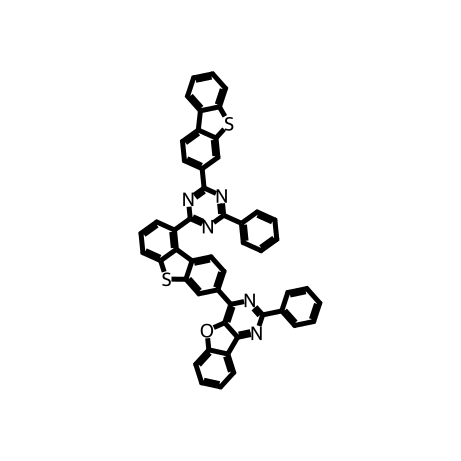 c1ccc(-c2nc(-c3ccc4c(c3)sc3ccccc34)nc(-c3cccc4sc5cc(-c6nc(-c7ccccc7)nc7c6oc6ccccc67)ccc5c34)n2)cc1